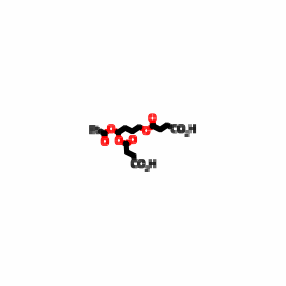 CCC(=O)OC(CCCOC(=O)CCC(=O)O)OC(=O)CCC(=O)O